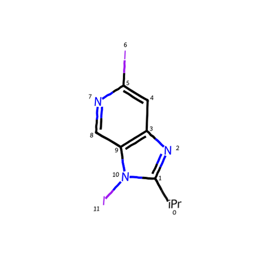 CC(C)c1nc2cc(I)ncc2n1I